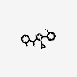 N#Cc1ccccc1C(S)c1nnc(-c2ccccc2O)n1C1CC1